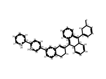 CC1C=CC=C(C2=c3ccccc3=C(C3=Cc4cc(-c5ccc(-c6ccccn6)nc5)ccc4CC3)C3C=CC=CC23)C1